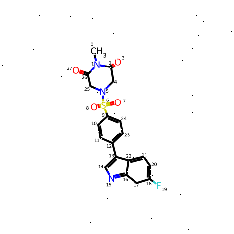 CN1C(=O)CN(S(=O)(=O)c2ccc(C3=CN=C4CC(F)=CC=C34)cc2)CC1=O